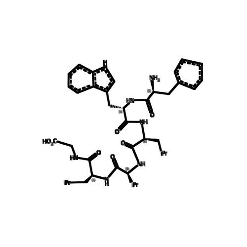 CC(C)C[C@H](NC(=O)[C@H](Cc1c[nH]c2ccccc12)NC(=O)[C@@H](N)Cc1ccccc1)C(=O)N[C@H](C(=O)N[C@@H](CC(C)C)C(=O)NCC(=O)O)C(C)C